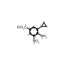 CCOC(=O)c1cc(C2CC2)c(N)c([N+](=O)[O-])c1